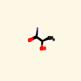 C[C@@H](O)C(=O)I